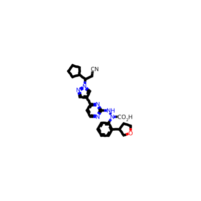 N#CCC(C1CCCC1)n1cc(-c2ccnc(NN(C(=O)O)c3ccccc3C3CCOC3)n2)cn1